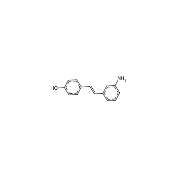 Nc1cccc(/C=C/c2ccc(O)cc2)c1